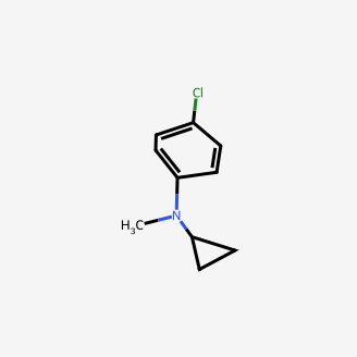 CN(c1ccc(Cl)cc1)C1CC1